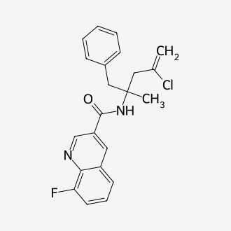 C=C(Cl)CC(C)(Cc1ccccc1)NC(=O)c1cnc2c(F)cccc2c1